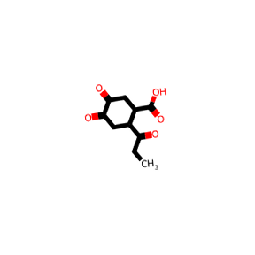 CCC(=O)C1CC(=O)C(=O)CC1C(=O)O